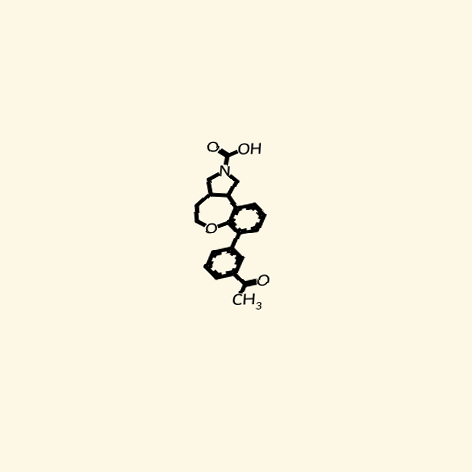 CC(=O)c1cccc(-c2cccc3c2OCCC2CN(C(=O)O)CC32)c1